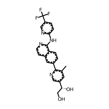 Cc1cc([C@H](O)CO)cnc1-c1ccc2c(Nc3ccc(C(F)(F)F)cn3)nccc2c1